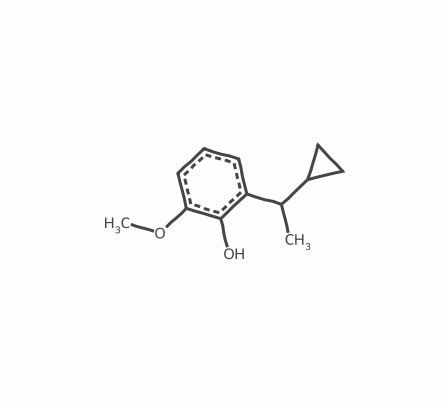 COc1cccc(C(C)C2CC2)c1O